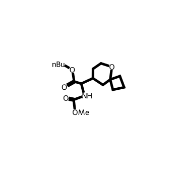 CCCCOC(=O)C(NC(=O)OC)C1CCOC2(CCC2)C1